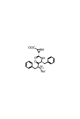 CN(Cc1ccccc1)C(=O)[C@H](Cc1ccccc1)NC(=O)[C@H]1N[C@@H]1C(=O)[O-].[Na+]